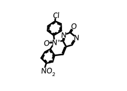 O=C1N=CC2=Cc3cc([N+](=O)[O-])ccc3[N+]([O-])(c3ccc(Cl)cc3)C2=N1